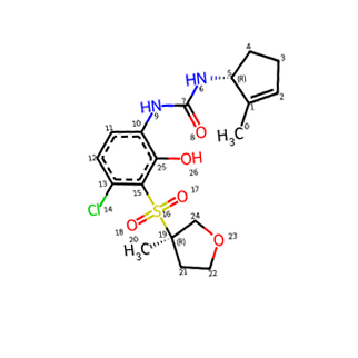 CC1=CCC[C@H]1NC(=O)Nc1ccc(Cl)c(S(=O)(=O)[C@]2(C)CCOC2)c1O